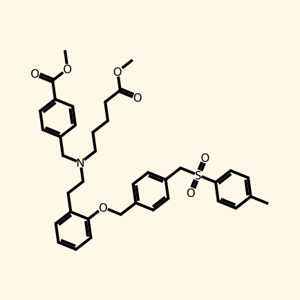 COC(=O)CCCCN(CCc1ccccc1OCc1ccc(CS(=O)(=O)c2ccc(C)cc2)cc1)Cc1ccc(C(=O)OC)cc1